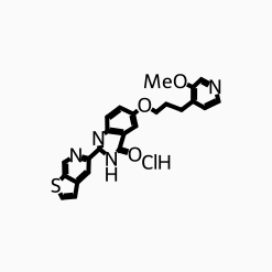 COc1cnccc1CCCOc1ccc2nc(-c3cc4ccsc4cn3)[nH]c(=O)c2c1.Cl